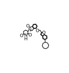 O=C1CCC(N2Cc3c(OCc4cc5cc(C6CCCCCCC6)ccc5o4)cccc3C2=O)C(=O)N1